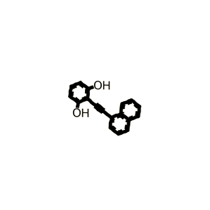 Oc1cccc(O)c1C#Cc1cccc2ccccc12